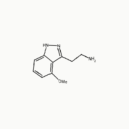 COc1cccc2[nH]nc(CCN)c12